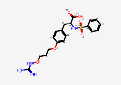 N=C(N)NOCCCOc1ccc(C[C@H](NS(=O)(=O)c2ccccc2)C(=O)O)cc1